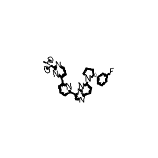 CS(=O)(=O)c1nccc(-c2cccc(-c3cnc4ccc(N5CCC[C@@H]5c5cccc(F)c5)nn34)n2)n1